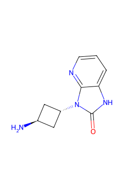 N[C@H]1C[C@H](n2c(=O)[nH]c3cccnc32)C1